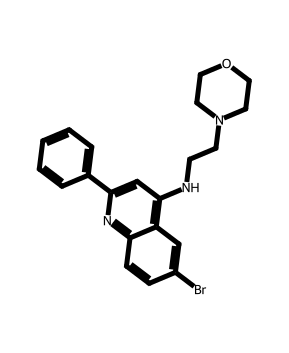 Brc1ccc2nc(-c3ccccc3)cc(NCCN3CCOCC3)c2c1